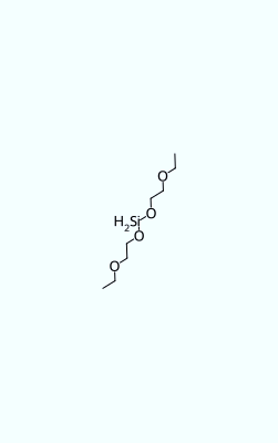 CCOCCO[SiH2]OCCOCC